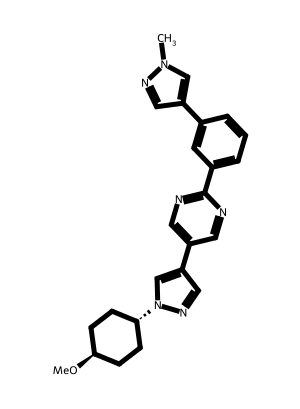 CO[C@H]1CC[C@H](n2cc(-c3cnc(-c4cccc(-c5cnn(C)c5)c4)nc3)cn2)CC1